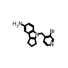 Nc1ccc2c(c1)c1c(n2Cc2ccncc2Br)CCC1